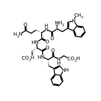 Cn1cc(C[C@H](N)C(=O)N[C@@H](CCC(N)=O)C(=O)N[C@@H](CC(=O)O)C(=O)N[C@@H](Cc2c[nH]c3ccccc23)C(=O)NCC(=O)O)c2ccccc21